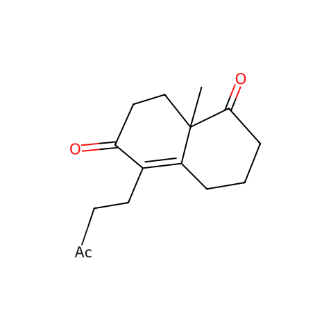 CC(=O)CCC1=C2CCCC(=O)C2(C)CCC1=O